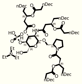 CCCCCCCCCCCC(=O)O[C@H](CCCCCCCCCCC)CC(=O)N[C@H]1[C@H](OC[C@@H]2CCCN2C(=O)C[C@@H](CCCCCCCCCCC)OC(=O)CCCCCCCCCCC)O[C@H](CO)[C@@H](OP(=O)(O)O)[C@@H]1OC(=O)C[C@@H](CCCCCCCCCCC)OC(=O)CCCCCCCCCCC.CCN(CC)CC